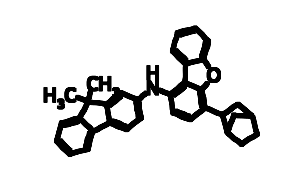 CC1(C)c2ccccc2-c2ccc(Nc3ccc(C4CC5CCC4C5)c4oc5ccccc5c34)cc21